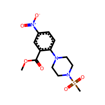 COC(=O)c1cc([N+](=O)[O-])ccc1N1CCN(S(C)(=O)=O)CC1